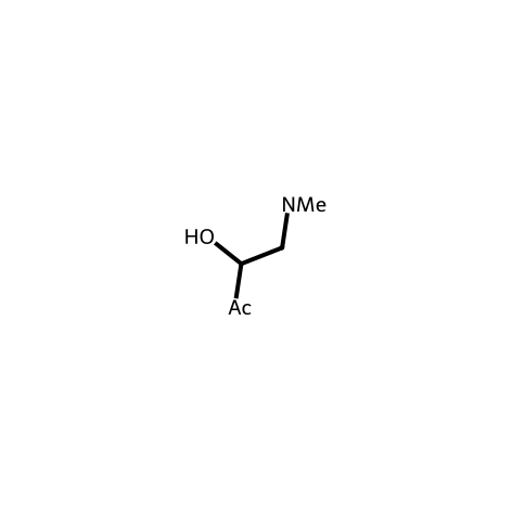 CNCC(O)C(C)=O